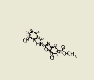 COC(=O)c1cc(Cl)c2oc(NCc3cccc(Cl)c3)nc2c1